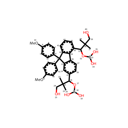 COc1ccc(C2(c3ccc(OC)cc3)c3cc(C(OB(O)O)C(C)(C)CO)ccc3-c3c(C(OB(O)O)C(C)(C)CO)cccc32)cc1